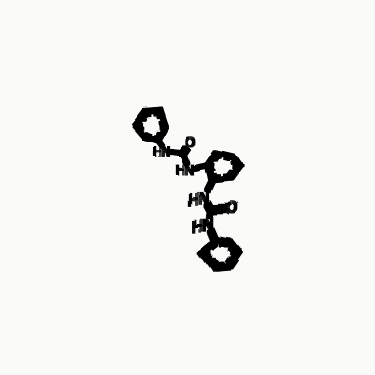 O=C(Nc1ccccc1)Nc1ccccc1NC(=O)Nc1ccccc1